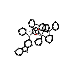 CC1(C)c2ccccc2-c2ccc(N(c3ccccc3)c3ccccc3[Si](c3ccccc3)(c3ccccc3)c3cccc(N(c4ccccc4)c4ccc5sc6ccccc6c5c4)c3)cc21